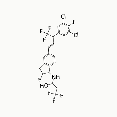 OC(CC(F)(F)F)NC1c2ccc(/C=C/C(c3cc(Cl)c(F)c(Cl)c3)C(F)(F)F)cc2CC1F